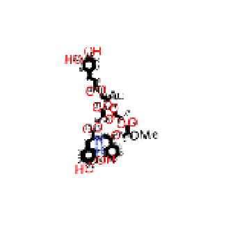 CO[C@@H](C)C(=O)O[C@@H](C)C(=O)O[C@@H](COC(=O)C(Cc1ccc(O)c(O)c1)NCC(=O)c1ccccc1)C(=O)O[C@@H](COC(=O)CCc1ccc(O)c(O)c1)C(C)=O